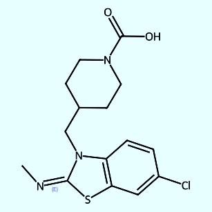 C/N=c1/sc2cc(Cl)ccc2n1CC1CCN(C(=O)O)CC1